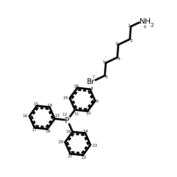 NCCCCCCBr.c1ccc(P(c2ccccc2)c2ccccc2)cc1